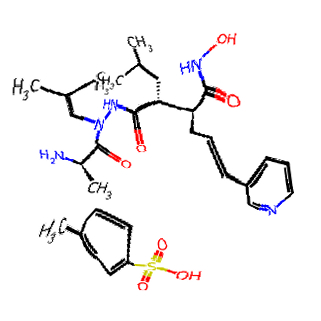 CC(C)C[C@@H](C(=O)NN(CC(C)C)C(=O)[C@@H](C)N)[C@H](CC=Cc1cccnc1)C(=O)NO.Cc1ccc(S(=O)(=O)O)cc1